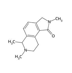 CC1c2ccc3c(c2CCN1C)C(=O)N(C)C3